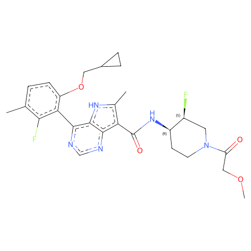 COCC(=O)N1CC[C@@H](NC(=O)c2c(C)[nH]c3c(-c4c(OCC5CC5)ccc(C)c4F)ncnc23)[C@@H](F)C1